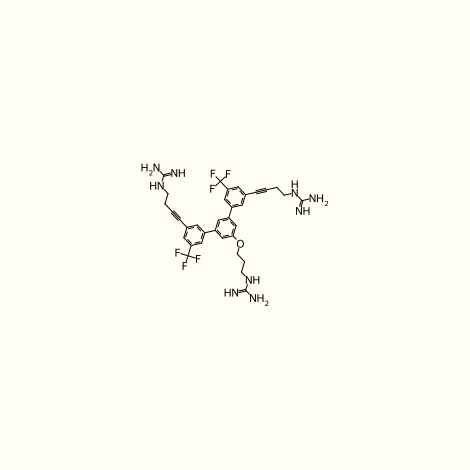 N=C(N)NCCC#Cc1cc(-c2cc(OCCCNC(=N)N)cc(-c3cc(C#CCCNC(=N)N)cc(C(F)(F)F)c3)c2)cc(C(F)(F)F)c1